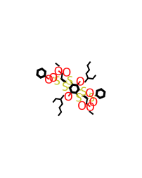 CCCCC(CC)COc1c2c(c(OCC(CC)CCCC)c3c1SC(=C(C(=O)OCC)S(=O)(=O)c1ccccc1)S3)SC(=C(SOOc1ccccc1)C(=O)OCC)S2